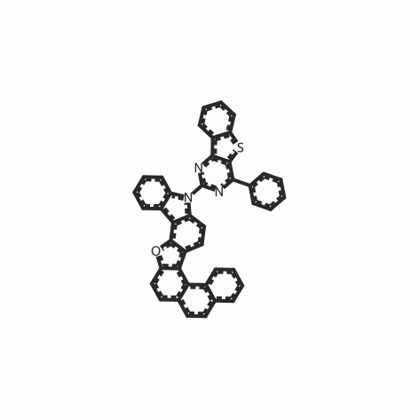 c1ccc(-c2nc(-n3c4ccccc4c4c5oc6ccc7ccc8ccccc8c7c6c5ccc43)nc3c2sc2ccccc23)cc1